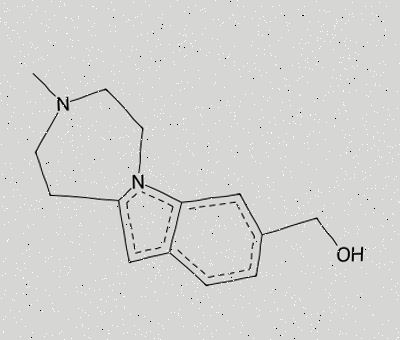 CN1CCc2cc3ccc(CO)cc3n2CC1